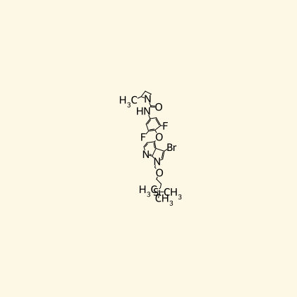 CC1CCN1C(=O)Nc1cc(F)c(Oc2ccnc3c2c(Br)cn3COCC[Si](C)(C)C)c(F)c1